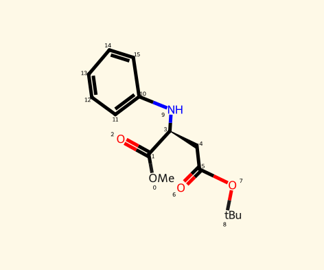 COC(=O)[C@H](CC(=O)OC(C)(C)C)Nc1ccccc1